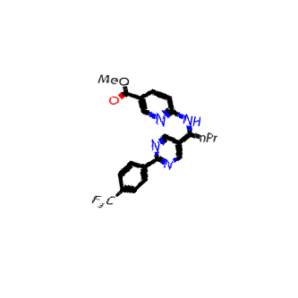 CCCC(Nc1ccc(C(=O)OC)cn1)c1cnc(-c2ccc(C(F)(F)F)cc2)nc1